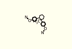 CC1(c2ccc(OC#N)cc2)CCCCC1c1ccc(OC#N)cc1